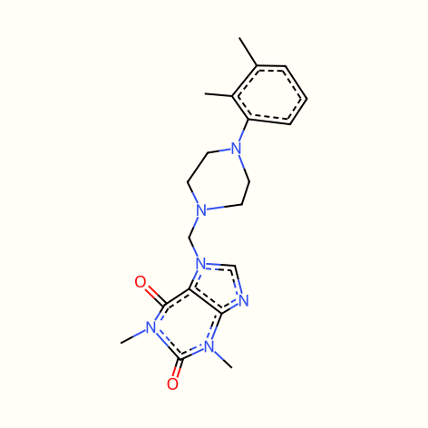 Cc1cccc(N2CCN(Cn3cnc4c3c(=O)n(C)c(=O)n4C)CC2)c1C